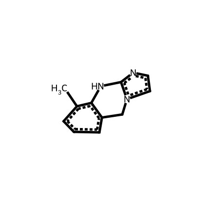 Cc1cccc2c1Nc1nccn1C2